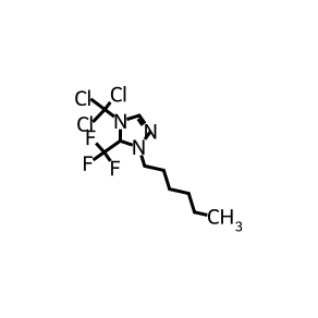 CCCCCCN1N=CN(C(Cl)(Cl)Cl)C1C(F)(F)F